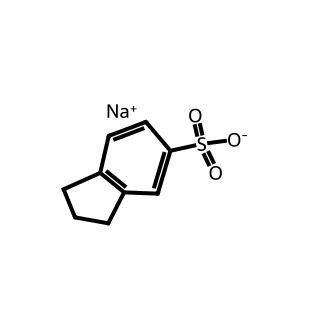 O=S(=O)([O-])c1ccc2c(c1)CCC2.[Na+]